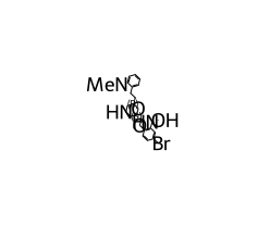 CNc1ccccc1CC[C@@H]1CNC[C@@H](COc2ccc(Br)cc2NO)O1